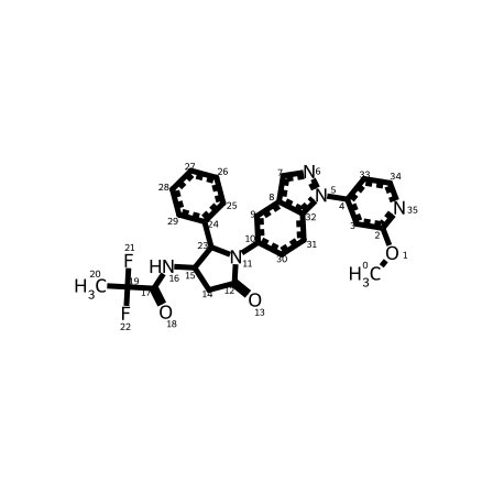 COc1cc(-n2ncc3cc(N4C(=O)CC(NC(=O)C(C)(F)F)C4c4ccccc4)ccc32)ccn1